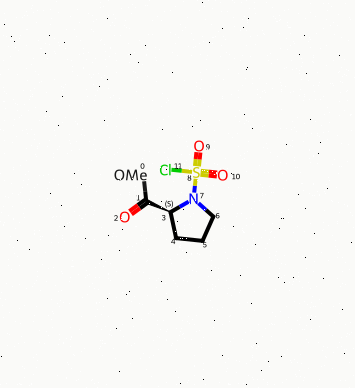 COC(=O)[C@@H]1CCCN1S(=O)(=O)Cl